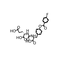 O=C(O)CC[C@H](NC(=O)N[C@@H](Cc1ccc(OC(=O)c2ccc(F)cc2)cc1)C(=O)O)C(=O)O